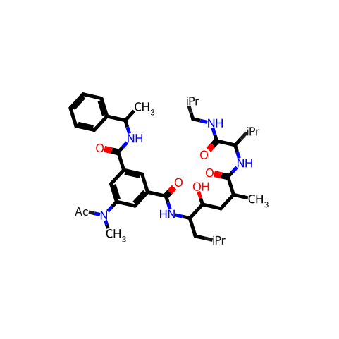 CC(=O)N(C)c1cc(C(=O)NC(C)c2ccccc2)cc(C(=O)NC(CC(C)C)C(O)CC(C)C(=O)NC(C(=O)NCC(C)C)C(C)C)c1